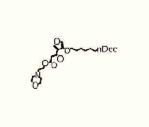 CCCCCCCCCCCCCCCCOc1cocc1C(=O)CC(=O)OCCN1CCOCC1